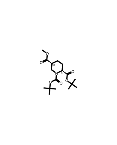 COC(=O)[C@H]1CC[C@@H](C(=O)OC(C)(C)C)N(C(=O)OC(C)(C)C)C1